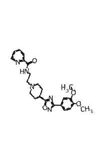 COc1ccc(-c2noc(C3CCN(CCNC(=O)c4ccccn4)CC3)n2)cc1OC